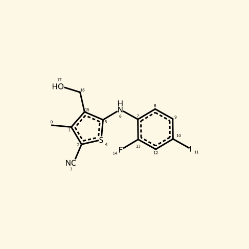 Cc1c(C#N)sc(Nc2ccc(I)cc2F)c1CO